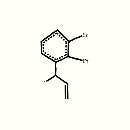 [CH2]C(C=C)c1cccc(CC)c1CC